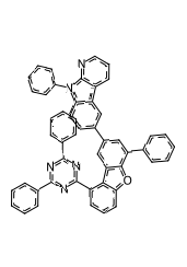 c1ccc(-c2nc(-c3ccccc3)nc(-c3cccc4oc5c(-c6ccccc6)cc(-c6ccc7c(c6)c6cccnc6n7-c6ccccc6)cc5c34)n2)cc1